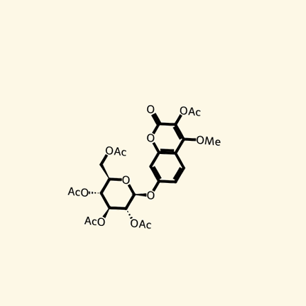 COc1c(OC(C)=O)c(=O)oc2cc(O[C@@H]3O[C@H](COC(C)=O)[C@@H](OC(C)=O)[C@H](OC(C)=O)[C@H]3OC(C)=O)ccc12